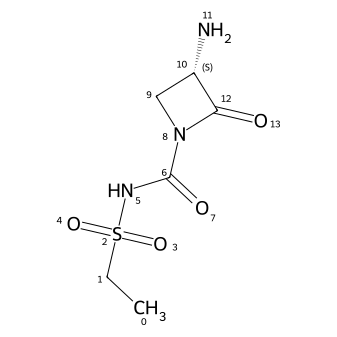 CCS(=O)(=O)NC(=O)N1C[C@H](N)C1=O